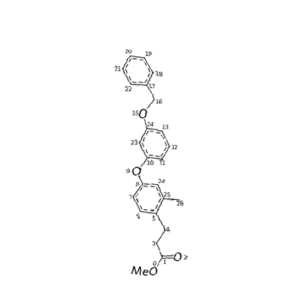 COC(=O)CCc1ccc(Oc2cccc(OCc3ccccc3)c2)cc1C